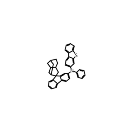 c1ccc(N(c2ccc3c(c2)C2(CC4CCC5CC4CC2C5)c2ccccc2-3)c2ccc3c(c2)sc2ccccc23)cc1